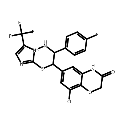 O=C1COc2c(Cl)cc(C3SC4=NC=C(C(F)(F)F)[N+]4NC3c3ccc(F)cc3)cc2N1